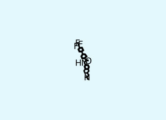 CN(C)CC1CCc2cc(NC(=O)c3ccc(-c4ccc(C(F)(F)F)cc4)cc3)ccc2C1